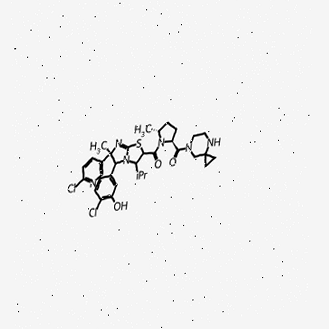 CC(C)C1C(C(=O)N2[C@H](C)CC[C@H]2C(=O)N2CCNC3(CC3)C2)SC2=N[C@@](C)(c3ccc(Cl)nc3)C(c3ccc(Cl)c(O)c3)N21